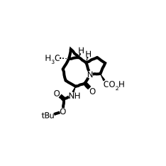 CC(C)(C)OC(=O)N[C@H]1CC[C@@]2(C)C[C@H]2[C@H]2CC[C@@H](C(=O)O)N2C1=O